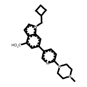 CN1CCN(c2ccc(-c3cc(C(=O)O)c4ccn(CC5CCC5)c4c3)cn2)CC1